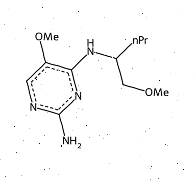 CCCC(COC)Nc1nc(N)ncc1OC